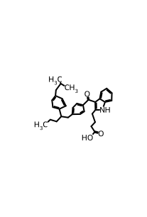 CCCC(Cc1ccc(C(=O)c2c(CCCC(=O)O)[nH]c3ccccc23)cc1)c1ccc(CC(C)C)cc1